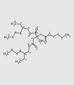 CCCCOC(=O)CC(O)(CC(=O)OCC(CC)CCCC)C(=O)OCC(CC)CCCC